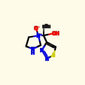 CCCCC(O)(c1csnn1)[N+]1([O-])CCNC1